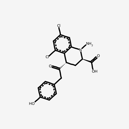 NN1c2cc(Cl)cc(Cl)c2[C@@H](C(=O)Cc2ccc(O)cc2)C[C@@H]1C(=O)O